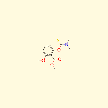 COC(=O)c1c(OC)cccc1OC(=S)N(C)C